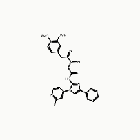 COc1ccc(CC(=O)N(CC(=O)Nc2nc(-c3ccccc3)cn2-c2ccnc(C)c2)C(C)C)cc1OC